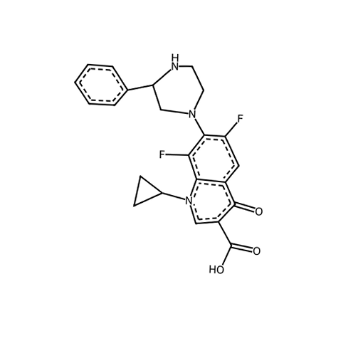 O=C(O)c1cn(C2CC2)c2c(F)c(N3CCNC(c4ccccc4)C3)c(F)cc2c1=O